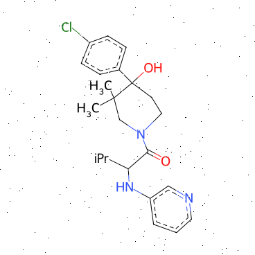 CC(C)C(Nc1cccnc1)C(=O)N1CCC(O)(c2ccc(Cl)cc2)C(C)(C)C1